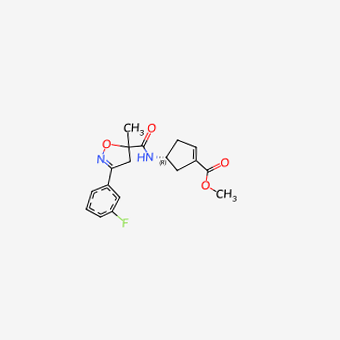 COC(=O)C1=CC[C@@H](NC(=O)C2(C)CC(c3cccc(F)c3)=NO2)C1